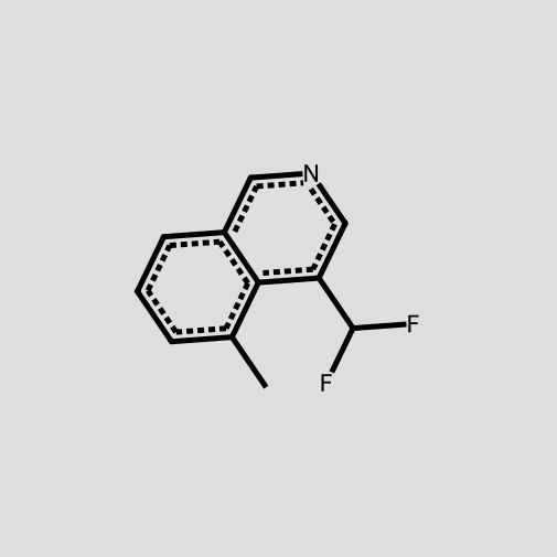 Cc1cccc2cncc(C(F)F)c12